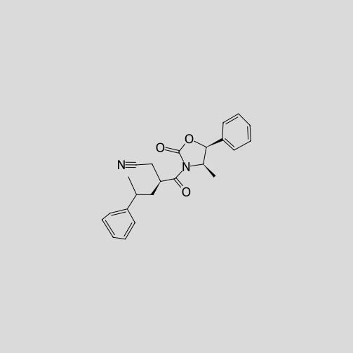 CC(C[C@@H](CC#N)C(=O)N1C(=O)O[C@@H](c2ccccc2)[C@H]1C)c1ccccc1